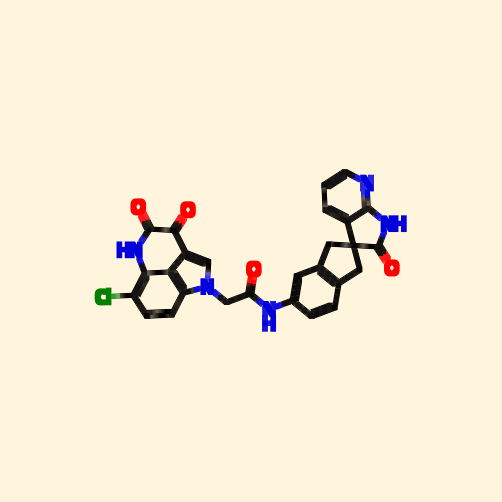 O=C(Cn1cc2c3c(c(Cl)ccc31)NC(=O)C2=O)Nc1ccc2c(c1)CC1(C2)C(=O)Nc2ncccc21